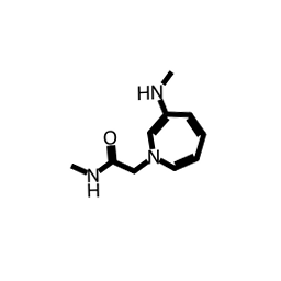 CNC(=O)CN1C=CC=CC(NC)=C1